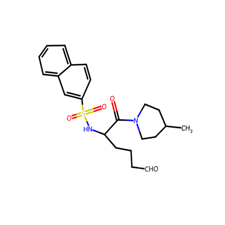 CC1CCN(C(=O)C(CCCC=O)NS(=O)(=O)c2ccc3ccccc3c2)CC1